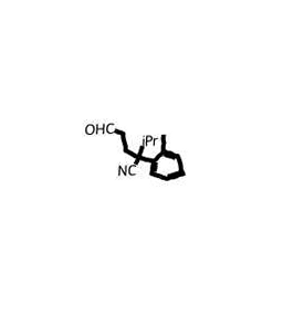 Cc1ccccc1C(C#N)(CCC=O)C(C)C